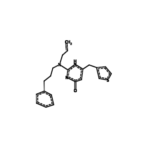 C=CCN(CCCc1ccccc1)c1nc(=O)cc(Cc2ccsc2)[nH]1